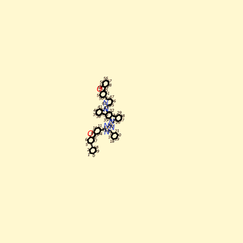 c1ccc(-c2ccc3oc4ccc(-c5nc(-c6ccccc6)nc(-n6c7ccccc7c7cc8c(cc76)c6ccccc6n8-c6cccc(-c7ccc8oc9ccccc9c8c7)n6)n5)cc4c3c2)cc1